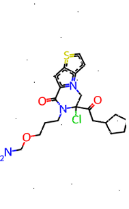 NCOCCCN1C(=O)c2cc3sccc3n2CC1(Cl)C(=O)CC1CCCC1